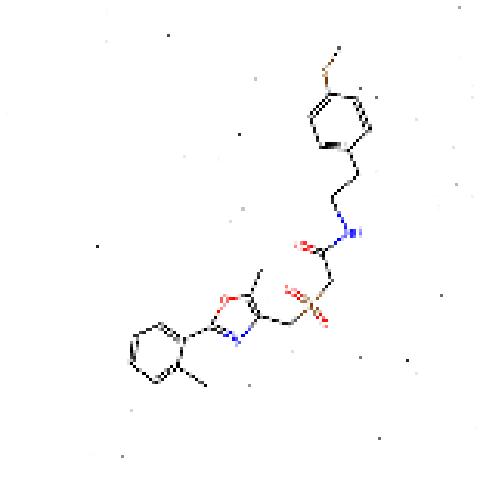 CSc1ccc(CCNC(=O)CS(=O)(=O)Cc2nc(-c3ccccc3C)oc2C)cc1